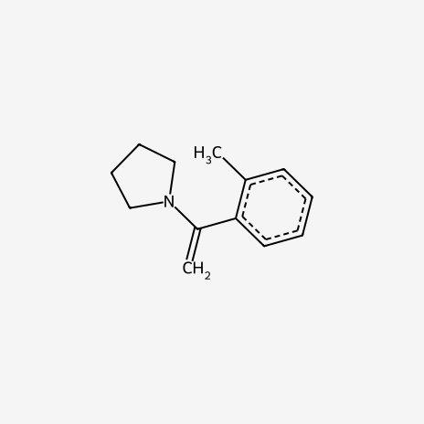 C=C(c1ccccc1C)N1CCCC1